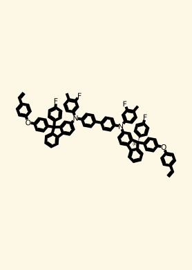 C=Cc1ccc(Oc2ccc(C3(c4ccc(F)cc4)c4ccccc4-c4ccc(N(c5ccc(-c6ccc(N(c7ccc(C)c(F)c7)c7ccc8c(c7)[C@@](c7ccc(F)cc7)(c7ccc(Oc9ccc(C=C)cc9)cc7)c7ccccc7-8)cc6)cc5)c5ccc(C)c(F)c5)cc43)cc2)cc1